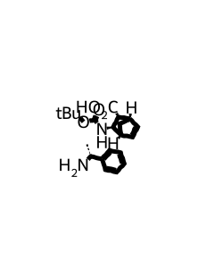 CC(C)(C)OC(=O)N[C@H]1[C@@H](C(=O)O)[C@@H]2C=C[C@H]1C2.C[C@@H](N)c1ccccc1